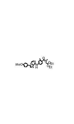 CCOC(CN(C)C(=O)c1ccc(Nc2nccn3c(-c4ccc(OC)cc4)cnc23)cc1C)OCC